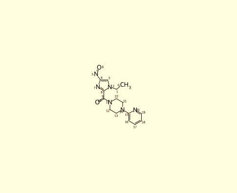 CCn1cc(N=O)nc1C(=O)N1CCN(c2ccccn2)CC1